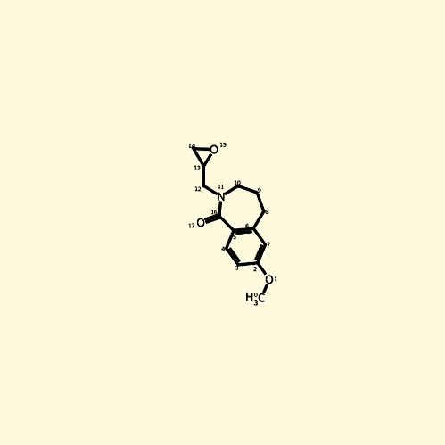 COc1ccc2c(c1)CCCN(CC1CO1)C2=O